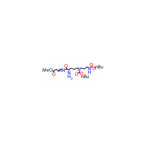 CCCCOC(=O)NCCCN(CCCC(N)C(=O)NCCCC(=O)OC)C(=O)OCCCC